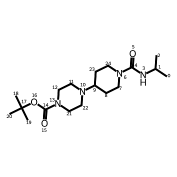 CC(C)NC(=O)N1CCC(N2CCN(C(=O)OC(C)(C)C)CC2)CC1